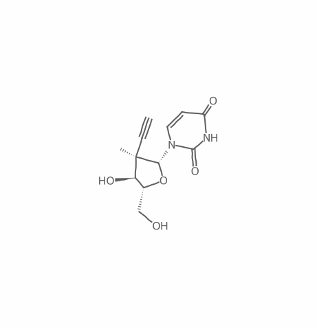 C#C[C@]1(C)[C@H](O)[C@@H](CO)O[C@H]1n1ccc(=O)[nH]c1=O